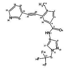 Cc1ccc(C(=O)Nc2cnn(CC(F)(F)F)c2)cc1C#Cc1cccnc1